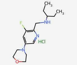 CCC(CC)NCc1ncc(N2CCOCC2)cc1F.Cl